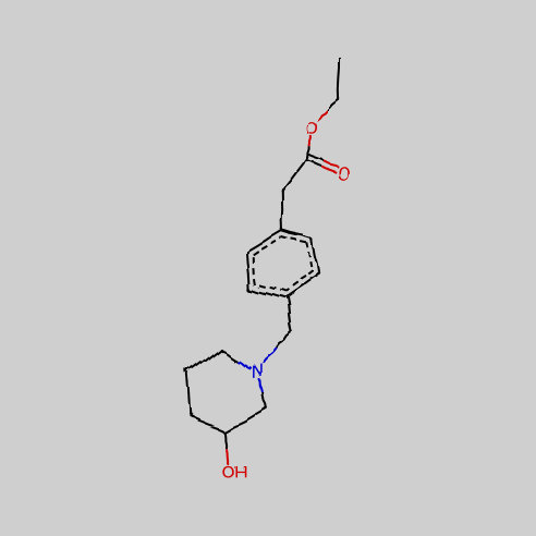 CCOC(=O)Cc1ccc(CN2CCCC(O)C2)cc1